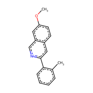 COc1ccc2cc(-c3ccccc3C)ncc2c1